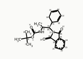 C[C@H](NC(=O)OC(C)(C)C)[C@@H](C1C=CC=CC1)N1C(=O)c2ccccc2C1=O